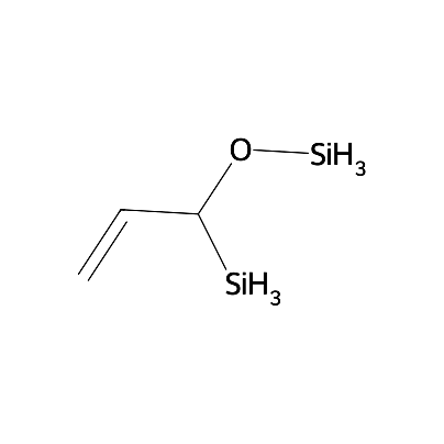 C=CC([SiH3])O[SiH3]